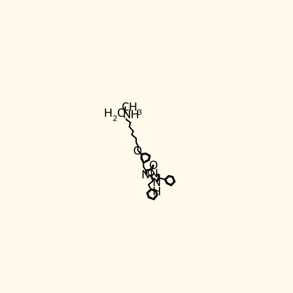 C=C(C)NCCCCCCCCOc1cccc(Cc2nc3c(Cc4ccccc4)[nH]c(-c4ccccc4)cn-3c2=O)c1